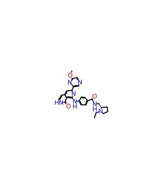 CCN1CCC[C@@H]1CNC(=O)c1ccc(Nc2nc(-c3cncc(OC)n3)cc3cc[nH]c(=O)c23)cc1